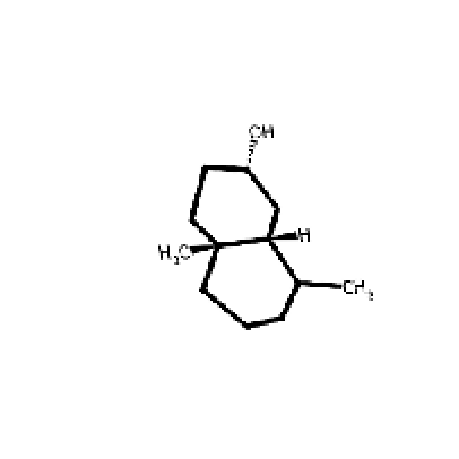 CC1CCC[C@]2(C)CC[C@H](O)C[C@H]12